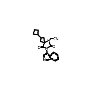 N#CCN1C(=O)N(c2cncc3ccccc23)C(=O)C12CC(C1CCC1)C2